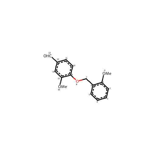 COc1ccccc1COc1ccc(C=O)cc1OC